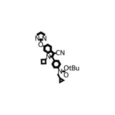 CC(C)(C)OC(=O)N(CC1CC1)c1ccc(-c2c(C#N)c3ccc(Oc4ncccn4)cc3n2C2CCC2)cc1